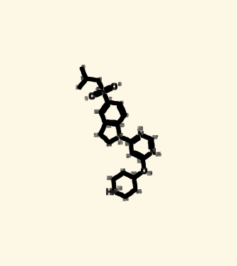 CC(C)CS(=O)(=O)c1ccc2c(c1)CCN2c1cc(OC2CCNCC2)ncn1